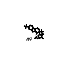 CC1=CCC(C2(C(C)(C)C)C=CC3=c4ccc(C(C)(C)C)cc4=CC3=[C]2[Zr]=[C](C)C)=C1C.Cl.Cl